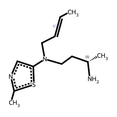 C/C=C/CN(CC[C@H](C)N)c1cnc(C)s1